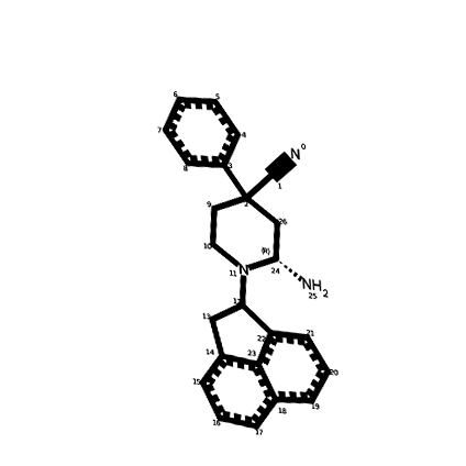 N#CC1(c2ccccc2)CCN(C2Cc3cccc4cccc2c34)[C@@H](N)C1